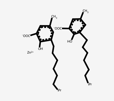 Cc1cc(CCCCCCC(C)C)c(O)c(C(=O)[O-])c1.Cc1cc(CCCCCCC(C)C)c(O)c(C(=O)[O-])c1.[Zn+2]